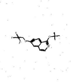 CC(C)(C)Oc1nccc2cc(OCC(F)(F)F)ccc12